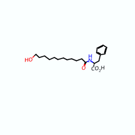 O=C(CCCCCCCCCCCO)N[C@@H](Cc1ccccc1)C(=O)O